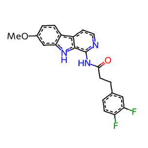 COc1ccc2c(c1)[nH]c1c(NC(=O)CCc3ccc(F)c(F)c3)nccc12